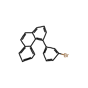 Brc1cccc(-c2cccc3ccc4ccccc4c23)c1